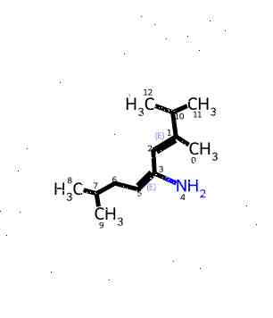 C/C(=C\C(N)=C/CC(C)C)C(C)C